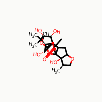 C[C@@H]1COC2CC34C5OC(=O)C3(OC3O[C@H](O)[C@H](O)C34[C@H](C(C)(C)C)[C@H]5O)[C@]21O